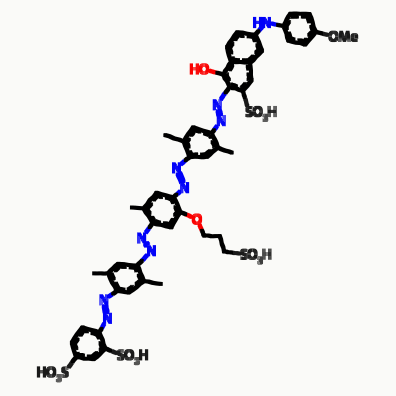 COc1ccc(Nc2ccc3c(O)c(N=Nc4cc(C)c(N=Nc5cc(C)c(N=Nc6cc(C)c(N=Nc7ccc(S(=O)(=O)O)cc7S(=O)(=O)O)cc6C)cc5OCCCS(=O)(=O)O)cc4C)c(S(=O)(=O)O)cc3c2)cc1